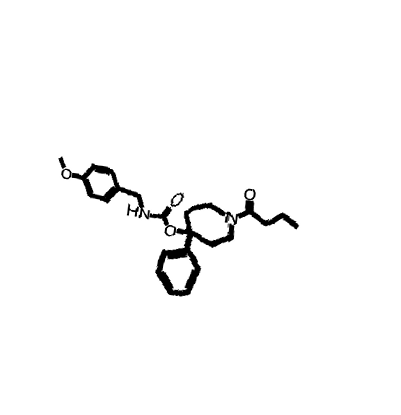 CCCC(=O)N1CCC(OC(=O)NCc2ccc(OC)cc2)(c2ccccc2)CC1